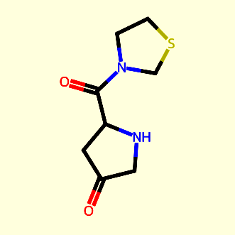 O=C1CNC(C(=O)N2CCSC2)C1